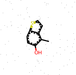 Cc1c(O)ccc2sccc12